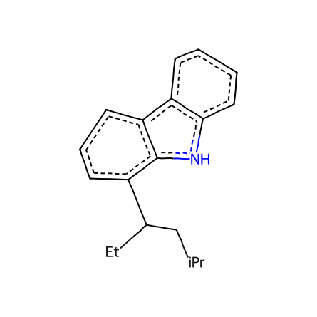 CCC(CC(C)C)c1cccc2c1[nH]c1ccccc12